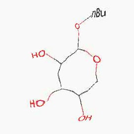 CCCCOC1OCC(O)C(O)C1O